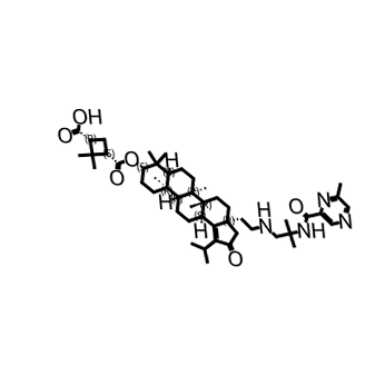 Cc1cncc(C(=O)NC(C)(C)CNCC[C@@]23CC[C@]4(C)[C@H](CC[C@@H]5[C@@]6(C)CC[C@H](OC(=O)[C@H]7C[C@@H](C(=O)O)C7(C)C)C(C)(C)[C@@H]6CC[C@]54C)C2=C(C(C)C)C(=O)C3)n1